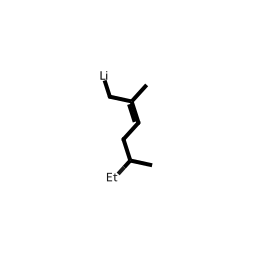 [Li][CH2]C(C)=CCC(C)CC